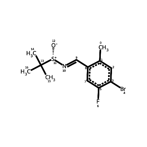 Cc1cc(Br)c(F)cc1C=N[S@@+]([O-])C(C)(C)C